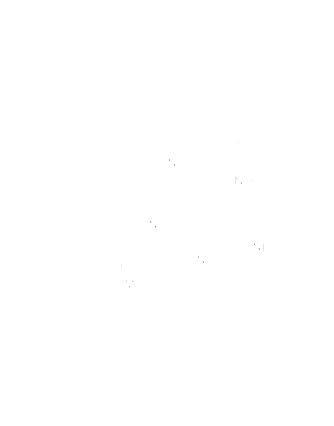 CCOC(=O)CN(Cc1cccc(CC)c1)c1nc(SC)nc(N)c1[N+](=O)[O-]